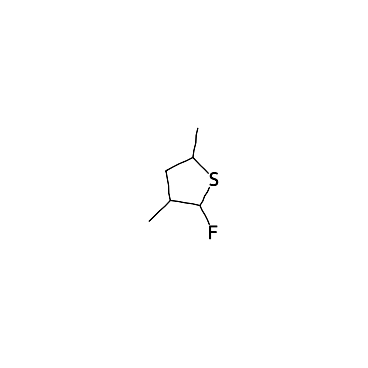 CC1CC(C)C(F)S1